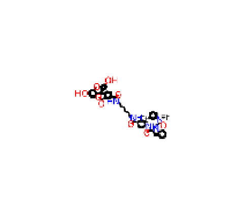 CCc1cccc(N(CC)C(=O)Cn2c(C(=O)N[C@H]3CC[C@H](C(=O)NCCCCCCNC(=O)c4ccc5c(c4)C(=O)OC54c5ccc(O)cc5Oc5cc(O)ccc54)CC3)cc3ccccc32)c1